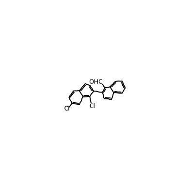 O=Cc1c(-c2ccc3ccc(Cl)cc3c2Cl)ccc2ccccc12